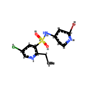 COCc1ncc(Cl)cc1S(=O)(=O)Nc1ccnc(Br)c1